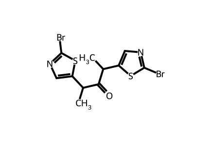 CC(C(=O)C(C)c1cnc(Br)s1)c1cnc(Br)s1